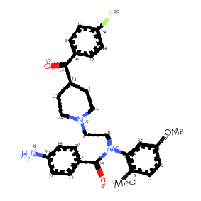 COc1ccc(OC)c(N(CCN2CCC(C(=O)c3ccc(F)cc3)CC2)C(=O)c2ccc(N)cc2)c1